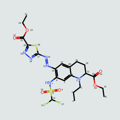 CCCN1c2cc(NS(=O)(=O)C(F)F)c(N=Nc3nnc(C(=O)OCC)s3)cc2CCC1C(=O)OCC